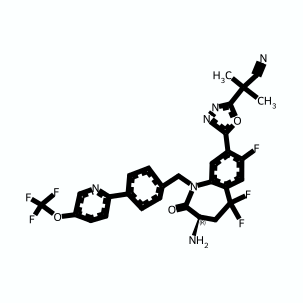 CC(C)(C#N)c1nnc(-c2cc3c(cc2F)C(F)(F)C[C@@H](N)C(=O)N3Cc2ccc(-c3ccc(OC(F)(F)F)cn3)cc2)o1